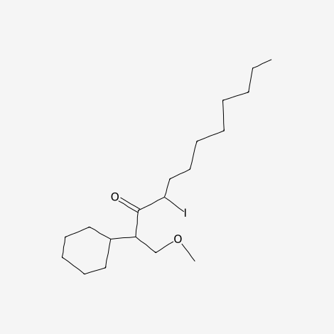 CCCCCCCCC(I)C(=O)C(COC)C1CCCCC1